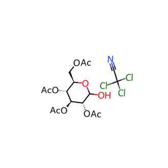 CC(=O)OC[C@H]1OC(O)[C@H](OC(C)=O)[C@@H](OC(C)=O)[C@@H]1OC(C)=O.N#CC(Cl)(Cl)Cl